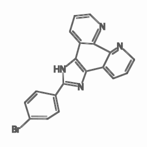 Brc1ccc(-c2nc3c4cccnc4c4ncccc4c3[nH]2)cc1